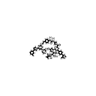 Cc1cccc(-c2ccn(-c3cc(N4CCOCC4)nc(OCCc4ccc(NC(=O)NC5CN(C(=O)CC[C@H](NC(=O)[C@@H]6C[C@@H](O)CN6C(=O)[C@@H](NC(=O)C6(F)CC6)C(C)(C)C)c6ccc(-c7scnc7C)cc6)C5)cc4)n3)n2)c1